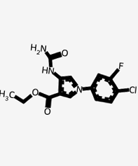 CCOC(=O)c1cn(-c2ccc(Cl)c(F)c2)cc1NC(N)=O